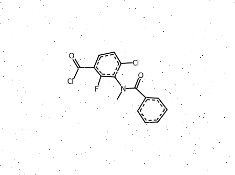 CN(C(=O)c1ccccc1)c1c(Cl)ccc(C(=O)Cl)c1F